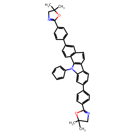 CC1(C)CN=C(c2ccc(-c3ccc4c(ccc5c6ccc(-c7ccc(C8=NCC(C)(C)O8)cc7)cc6n(-c6ccccc6)c45)c3)cc2)O1